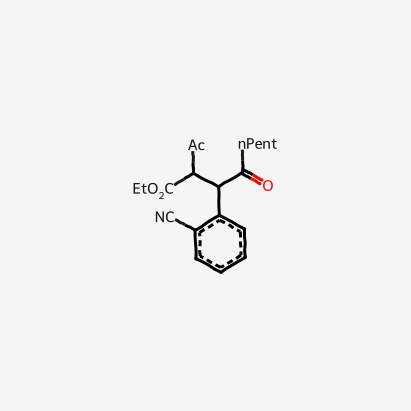 CCCCCC(=O)C(c1ccccc1C#N)C(C(C)=O)C(=O)OCC